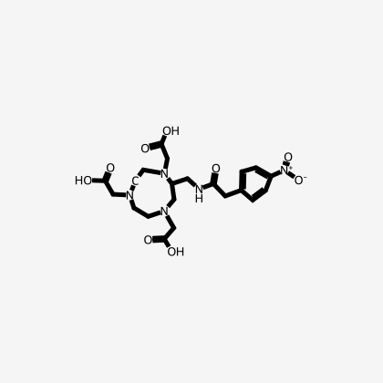 O=C(O)CN1CCN(CC(=O)O)CC(CNC(=O)Cc2ccc([N+](=O)[O-])cc2)N(CC(=O)O)CC1